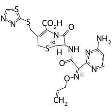 C=CCO/N=C(\C(=O)NC1C(=O)N2C(C(=O)O)=C(CSc3nncs3)CS[C@H]12)c1nccc(N)n1